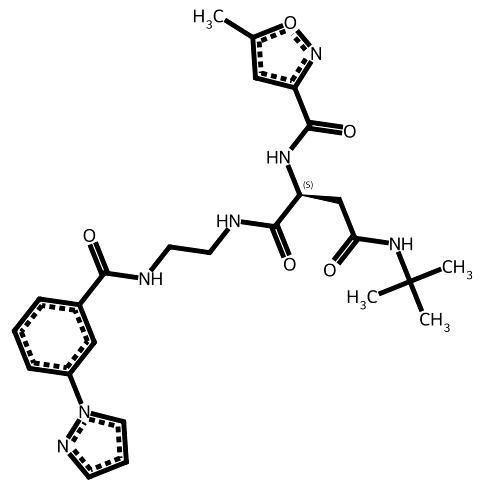 Cc1cc(C(=O)N[C@@H](CC(=O)NC(C)(C)C)C(=O)NCCNC(=O)c2cccc(-n3cccn3)c2)no1